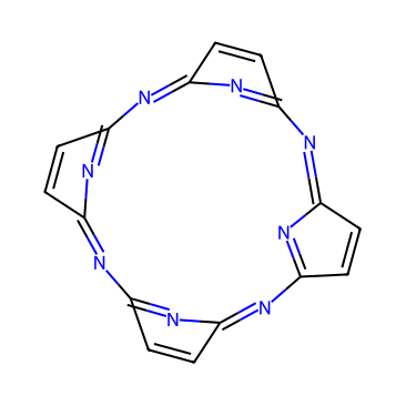 C1=C/C2=N/C3=NC(=N\C4=NC(=N\C5=NC(=N\C1=N2)/C=C5)/C=C4)/C=C3